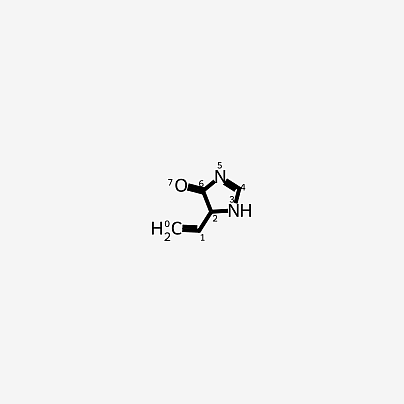 C=CC1NC=NC1=O